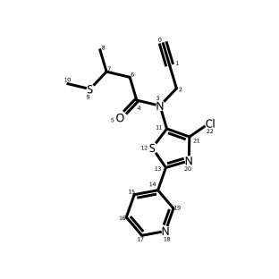 C#CCN(C(=O)CC(C)SC)c1sc(-c2cccnc2)nc1Cl